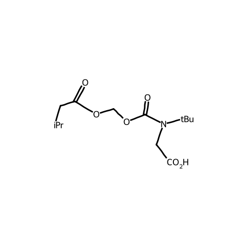 CC(C)CC(=O)OCOC(=O)N(CC(=O)O)C(C)(C)C